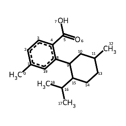 Cc1ccc(C(=O)O)c(C2CC(C)CCC2C(C)C)c1